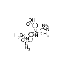 COC(=O)N1c2ccc3c(nc([C@H](C)Cc4cnccn4)n3[C@@H]3CCC[C@@H](C(=O)O)C3)c2CC[C@@H]1C